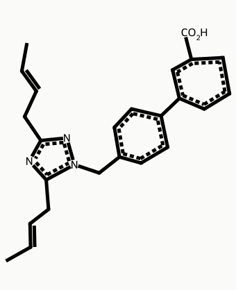 CC=CCc1nc(CC=CC)n(Cc2ccc(-c3cccc(C(=O)O)c3)cc2)n1